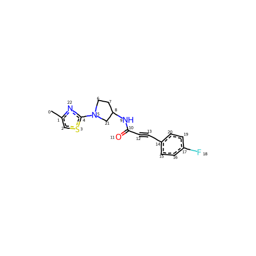 Cc1csc(N2CCC(NC(=O)C#Cc3ccc(F)cc3)C2)n1